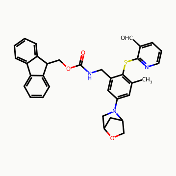 Cc1cc(N2CC3CC2CO3)cc(CNC(=O)OCC2c3ccccc3-c3ccccc32)c1Sc1ncccc1C=O